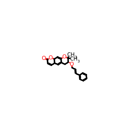 CC1(C)OC2=CC3OC(=O)C=CC3C=C2C[C@@H]1OC/C=C/c1ccccc1